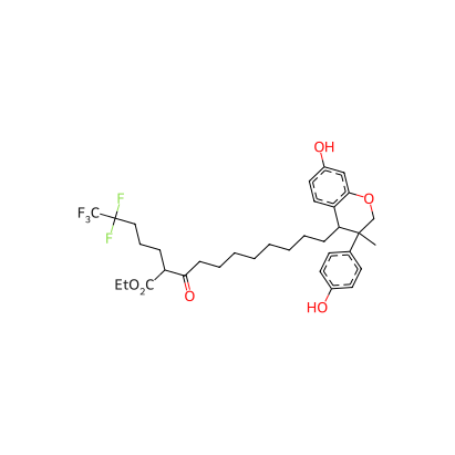 CCOC(=O)C(CCCC(F)(F)C(F)(F)F)C(=O)CCCCCCCCC1c2ccc(O)cc2OCC1(C)c1ccc(O)cc1